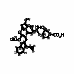 CC(C)c1cnn2c(N(Cc3nc4ccccn4c3C3CC3)C(=O)OC(C)(C)C)cc(NC[C@H]3CCN(C(=O)O)C[C@@H]3O)nc12